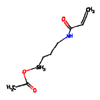 C=CC(=O)NCCC[SiH2]OC(C)=O